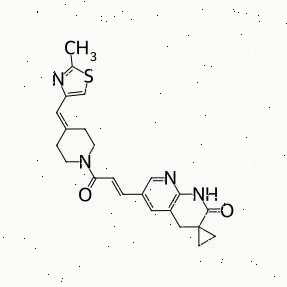 Cc1nc(C=C2CCN(C(=O)C=Cc3cnc4c(c3)CC3(CC3)C(=O)N4)CC2)cs1